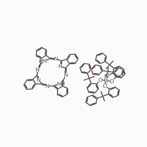 CC(C)(c1ccccc1)c1ccccc1[O][BiH]([O]c1ccccc1C(C)(C)c1ccccc1)([O]c1ccccc1C(C)(C)c1ccccc1)[O]c1ccccc1C(C)(C)c1ccccc1.c1ccc2c(c1)-c1nc-2nc2[nH]c(nc3nc(nc4[nH]c(n1)c1ccccc41)-c1ccccc1-3)c1ccccc21